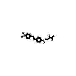 C=C(C)C(=O)CCN(C)c1ccc(C=Cc2ccc([N+](=O)[O-])cc2)cc1